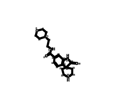 O=C(NCCN1CCOCC1)c1ccc2c(c1)NC(=O)C21CCNCC1